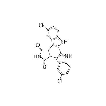 O=C1NC(=O)C2c3c([nH]c4ccc(Cl)cc34)-c3[nH]c4ccc(Cl)cc4c3C12